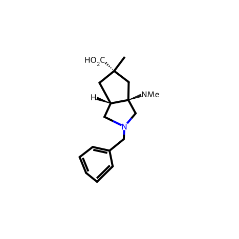 CN[C@@]12CN(Cc3ccccc3)C[C@@H]1C[C@](C)(C(=O)O)C2